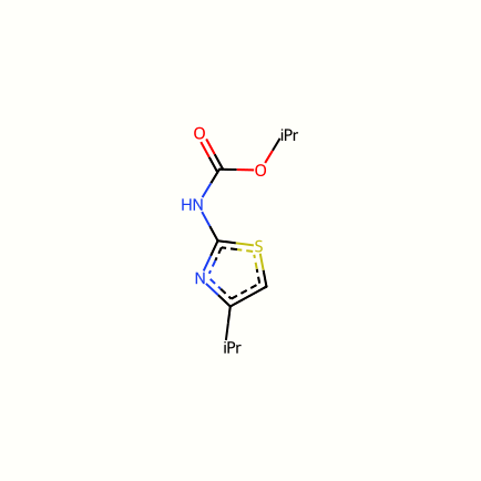 CC(C)OC(=O)Nc1nc(C(C)C)cs1